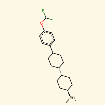 C[SiH2][C@H]1CC[C@H](C2CCC(c3ccc(OC(F)F)cc3)CC2)CC1